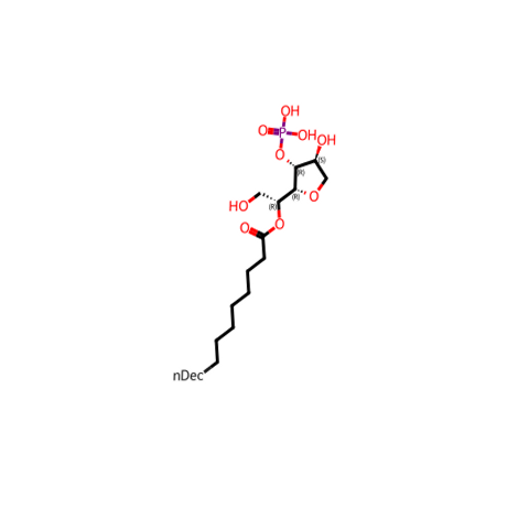 CCCCCCCCCCCCCCCCCC(=O)O[C@H](CO)[C@H]1OC[C@H](O)[C@H]1OP(=O)(O)O